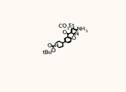 CCOC(=O)c1cc2c(=O)c3cc(C4CCN(C(=O)OC(C)(C)C)CC4)ccc3oc2nc1N